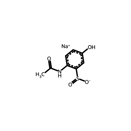 CC(=O)Nc1ccc(O)cc1S(=O)[O-].[Na+]